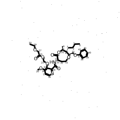 CCCC[C@H]1[C@H](C)OC(=O)[C@@H](NC(=O)c2nccc(OC)c2OCOC(=O)COCC)CCO[C@@H]1COc1ccccc1